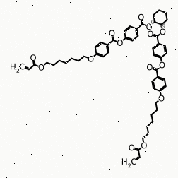 C=CC(=O)OCCCCCCCOc1ccc(C(=O)Oc2ccc(C(=O)O[C@@H]3CCCC[C@H]3OC(=O)c3ccc(OC(=O)c4ccc(OCCCCCCCOC(=O)C=C)cc4)cc3)cc2)cc1